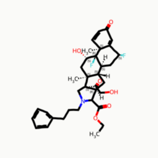 CCOC(=O)C1[C@@H]2C[C@H]3[C@@H]4C[C@H](F)C5=CC(=O)C=C[C@]5(C)[C@@]4(F)[C@@H](O)C[C@]3(C)[C@]2(C(=O)CO)CN1CCCc1ccccc1